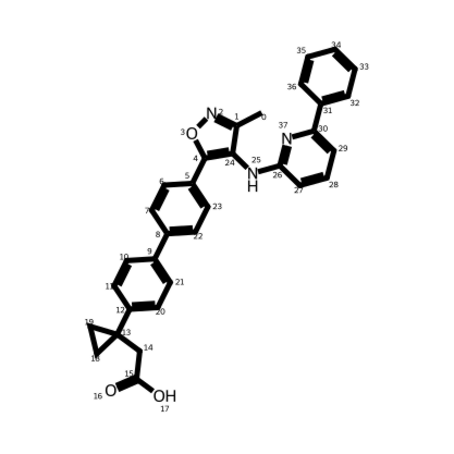 Cc1noc(-c2ccc(-c3ccc(C4(CC(=O)O)CC4)cc3)cc2)c1Nc1cccc(-c2ccccc2)n1